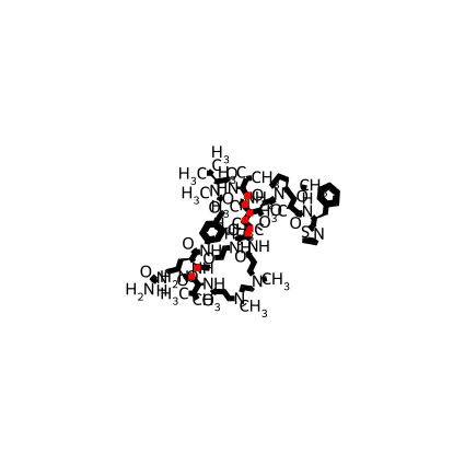 CC[C@H](C)[C@@H]([C@@H](CC(=O)N1CCC[C@H]1[C@H](OC)[C@@H](C)C(=O)N[C@@H](Cc1ccccc1)c1nccs1)OC)N(C)C(=O)[C@@H](NC(=O)[C@H](C(C)C)N(C)C(=O)OCc1ccc(NC(=O)[C@H](CCCNC(N)=O)NC(=O)[C@@H](NC(=O)CCN(C)CCN(C)CCC(=O)N[C@@H](CCCCN)C(=O)NCCOCCON)C(C)C)cc1)C(C)C